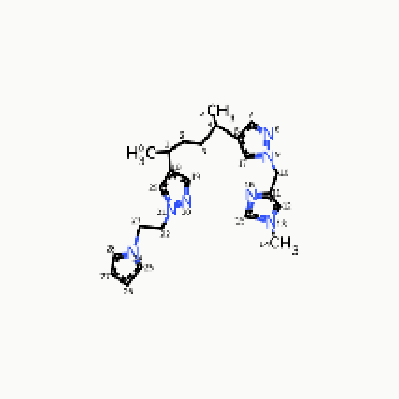 CC(CCC(C)c1cnn(Cc2cn(C)cn2)c1)c1cnn(CCn2cccc2)c1